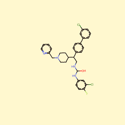 OC(NCC(c1ccc(-c2cccc(Cl)c2)cc1)C1CCN(Cc2ccccn2)CC1)Nc1ccc(F)c(Cl)c1